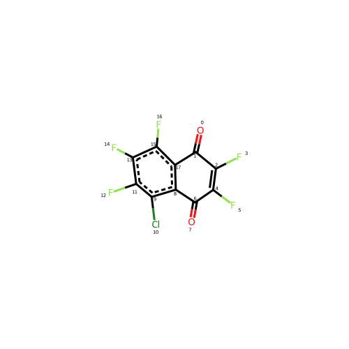 O=C1C(F)=C(F)C(=O)c2c(Cl)c(F)c(F)c(F)c21